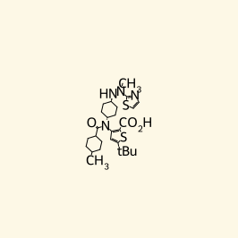 CC1CCC(C(=O)N(c2cc(C(C)(C)C)sc2C(=O)O)[C@H]2CC[C@H](NN(C)c3nccs3)CC2)CC1